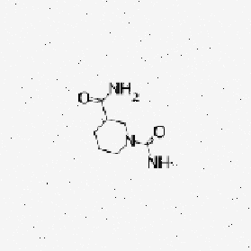 [NH]C(=O)N1CCCC(C(N)=O)C1